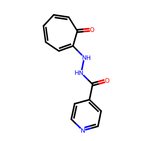 O=C(NNc1cccccc1=O)c1ccncc1